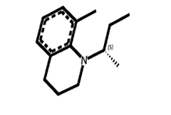 CC[C@H](C)N1CCCc2cccc(C)c21